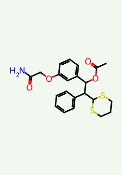 CC(=O)OC(c1cccc(OCC(N)=O)c1)C(c1ccccc1)C1SCCCS1